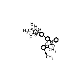 CC#Cc1cccc2oc(C(=O)N(c3ccccc3)c3ccc(-c4ccc(S(=O)(=O)NC(C(=O)O)C(C)C)cc4)cc3)c(C)c12